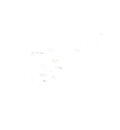 CN[C@@H](C)C(=O)N[C@@H](Cc1ccc(OCc2ccc(C(C)C)cc2)cc1)C(=O)N1CC=CC[C@H]1C(=O)N[C@@H]1CCCc2ccccc21